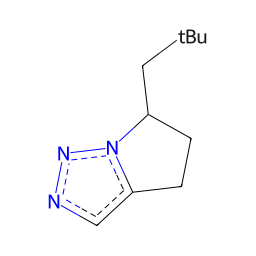 CC(C)(C)CC1CCc2cnnn21